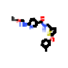 CCOCNc1ccc(C(=O)NCc2ccc(Oc3cccc(C)c3)s2)cn1